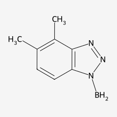 Bn1nnc2c(C)c(C)ccc21